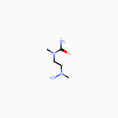 CN(N)CCN(C)C(N)=O